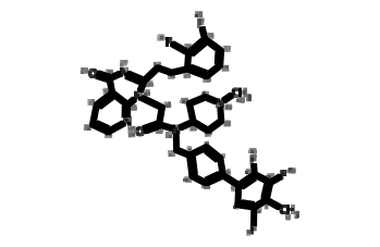 Cc1c(F)cc(-c2ccc(CN(C(=O)Cn3c(CCc4cccc(F)c4F)nc(=O)c4cccnc43)C3CCN(C)CC3)cc2)c(F)c1F